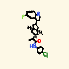 CC(C(=O)Nc1ccc(Cl)cc1)[C@@H]1C[C@H]2C[C@@H](c3ccnc4ccc(F)cc34)C[C@H]2C1